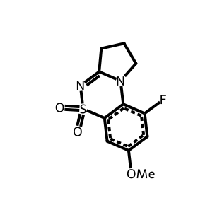 COc1cc(F)c2c(c1)S(=O)(=O)N=C1CCCN12